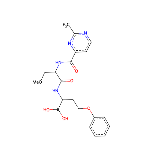 COCC(NC(=O)c1ccnc(C(F)(F)F)n1)C(=O)NC(CCOc1ccccc1)B(O)O